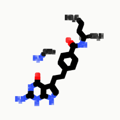 CON.Nc1nc(=O)c2c(CCc3ccc(C(=O)N[C@@H](CCC(=O)O)C(=O)O)cc3)c[nH]c2[nH]1